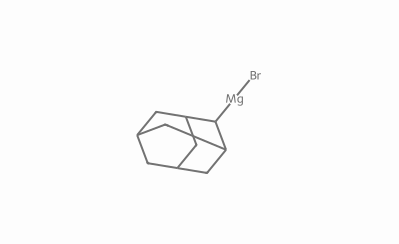 [Br][Mg][CH]1C2CC3CC(C2)CC1C3